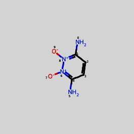 Nc1ccc(N)[n+]([O-])[n+]1[O-]